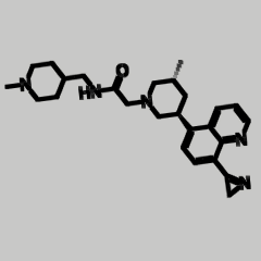 C[C@@H]1C[C@@H](c2ccc(C3=NC3)c3ncccc23)CN(CC(=O)NCC2CCN(C)CC2)C1